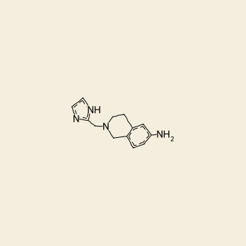 Nc1ccc2c(c1)CCN(Cc1ncc[nH]1)C2